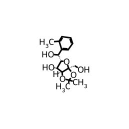 Cc1ccccc1C(O)[C@@H]1O[C@@]2(CO)OC(C)(C)O[C@H]2[C@@H]1O